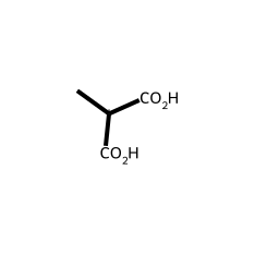 C[C](C(=O)O)C(=O)O